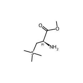 COC(=O)[C@@H](N)CS(C)(C)C